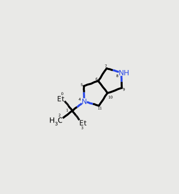 CCC(C)(CC)N1CC2CNCC2C1